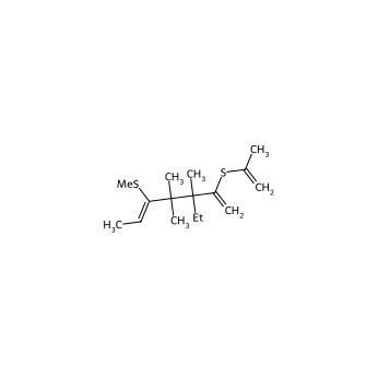 C=C(C)SC(=C)C(C)(CC)C(C)(C)/C(=C/C)SC